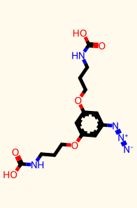 [N-]=[N+]=Nc1cc(OCCCNC(=O)O)cc(OCCCNC(=O)O)c1